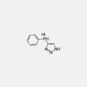 I.c1ccc(Pc2c[nH]nn2)cc1